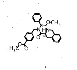 COC[C@@H](c1ccccc1)N(Cc1ccc(C(=O)OC)cc1)C(=O)[C@@H]1Cc2ccccc2CN1